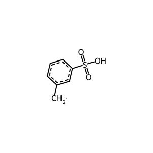 [CH2]c1cccc(S(=O)(=O)O)c1